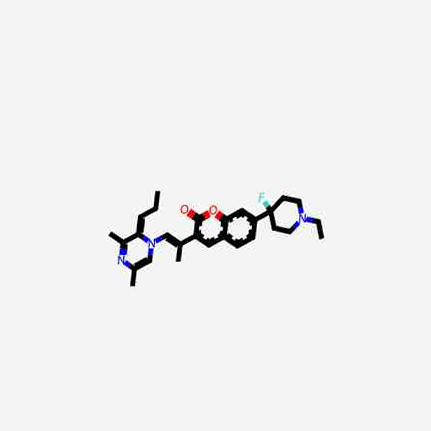 CC/C=C1/C(C)=NC(C)=CN1/C=C(\C)c1cc2ccc(C3(F)CCN(CC)CC3)cc2oc1=O